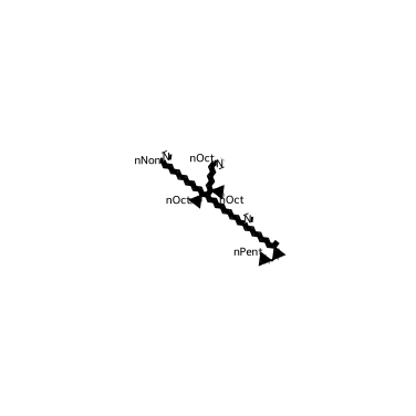 CCCCCCCCCC(CCCCCCCCCCC(C(CCCCCCCCCC(CCCCCCCC(C)[C@@H]1C[C@H]1C[C@H]1C[C@H]1CCCCC)N(C)C)C(CCCCCC(CCCCCCCC)N(C)C)[C@H]1C[C@H]1CCCCCCCC)[C@H]1C[C@H]1CCCCCCCC)N(C)C